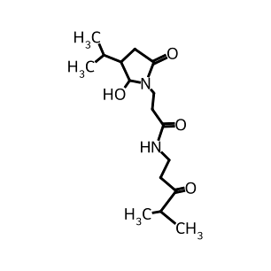 CC(C)C(=O)CCNC(=O)CCN1C(=O)CC(C(C)C)C1O